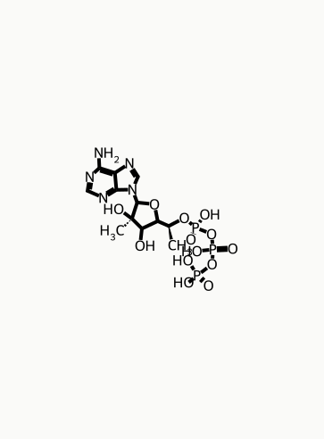 C[C@H](OP(=O)(O)OP(=O)(O)OP(=O)(O)O)C1OC(n2cnc3c(N)ncnc32)[C@](C)(O)C1O